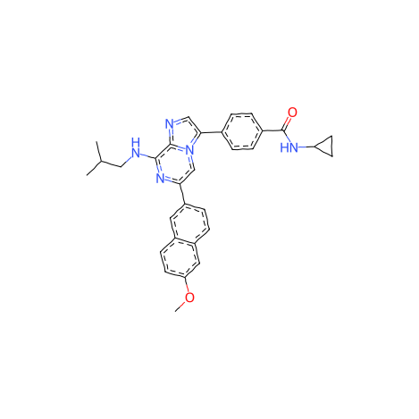 COc1ccc2cc(-c3cn4c(-c5ccc(C(=O)NC6CC6)cc5)cnc4c(NCC(C)C)n3)ccc2c1